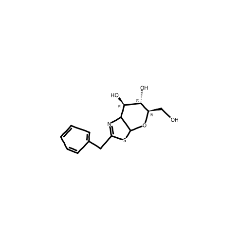 OC[C@H]1OC2SC(Cc3ccccc3)=NC2[C@@H](O)[C@@H]1O